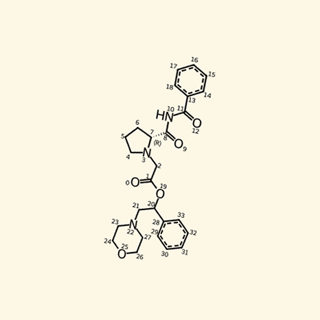 O=C(CN1CCC[C@@H]1C(=O)NC(=O)c1ccccc1)OC(CN1CCOCC1)c1ccccc1